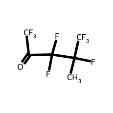 CC(F)(C(F)(F)F)C(F)(F)C(=O)C(F)(F)F